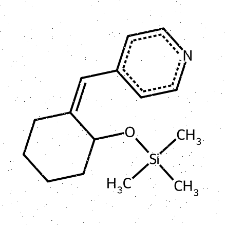 C[Si](C)(C)OC1CCCCC1=Cc1ccncc1